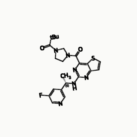 C[C@H](Nc1nc(C(=O)N2CCN(C(=O)C(C)(C)C)C2)c2sccc2n1)c1cncc(F)c1